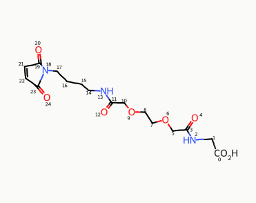 O=C(O)CNC(=O)COCCOCC(=O)NCCCCN1C(=O)C=CC1=O